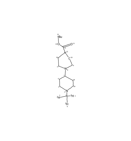 [2H]C([2H])([2H])N1CCC(N2CCN(C(=O)OC(C)(C)C)CC2)CC1